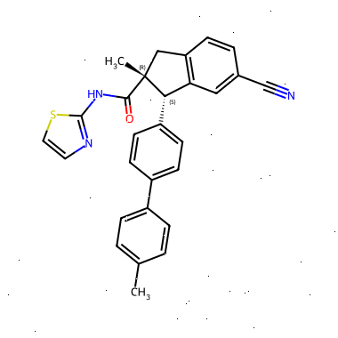 Cc1ccc(-c2ccc([C@H]3c4cc(C#N)ccc4C[C@@]3(C)C(=O)Nc3nccs3)cc2)cc1